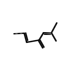 C=C(C=C(C)C)/C=C/C